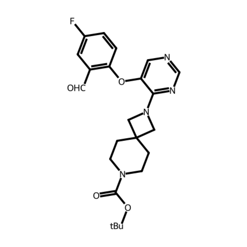 CC(C)(C)OC(=O)N1CCC2(CC1)CN(c1ncncc1Oc1ccc(F)cc1C=O)C2